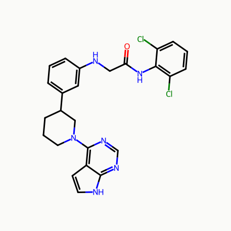 O=C(CNc1cccc(C2CCCN(c3ncnc4[nH]ccc34)C2)c1)Nc1c(Cl)cccc1Cl